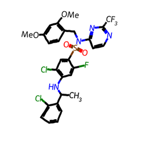 COc1ccc(CN(c2ccnc(C(F)(F)F)n2)S(=O)(=O)c2cc(Cl)c(NC(C)c3ccccc3Cl)cc2F)c(OC)c1